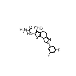 NC(=O)Nc1sc2c(c1C=O)CCC1=NN(c3cc(F)cc(F)c3)CC12